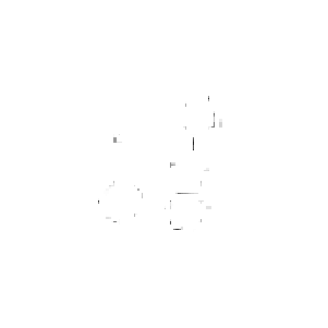 Cl.c1ccc(-c2ccnc3sc(C4CCCN4)nc23)cc1